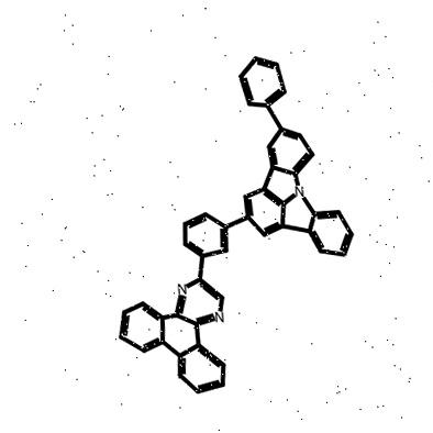 c1ccc(-c2ccc3c(c2)c2cc(-c4cccc(-c5cnc6c7ccccc7c7ccccc7c6n5)c4)cc4c5ccccc5n3c42)cc1